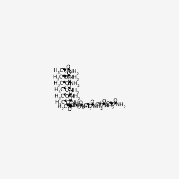 C=CC(=O)O.CCOC(N)=O.CCOC(N)=O.CCOC(N)=O.CCOC(N)=O.CCOC(N)=O.CCOC(N)=O.CCOC(N)=O.CCOC(N)=O.CCOC(N)=O.CCOC(N)=O